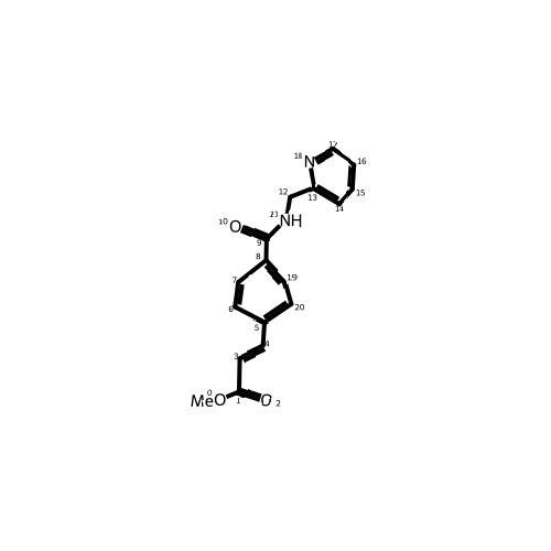 COC(=O)C=Cc1ccc(C(=O)NCc2ccccn2)cc1